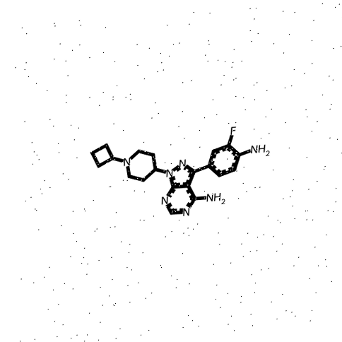 Nc1ccc(-c2nn(C3CCN(C4CCC4)CC3)c3ncnc(N)c23)cc1F